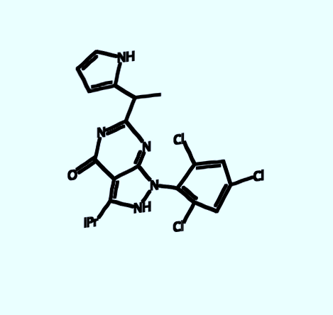 CC(C)c1[nH]n(-c2c(Cl)cc(Cl)cc2Cl)c2nc(C(C)c3ccc[nH]3)nc(=O)c1-2